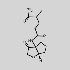 CC(C[CH]C(=O)NC12CCC[C@@H]1OCC2=O)C(N)=O